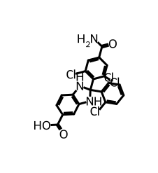 NC(=O)c1cc(Cl)c(C2(c3c(Cl)cccc3Cl)Nc3ccc(C(=O)O)cc3N2)c(Cl)c1